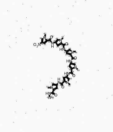 [CH2]CCNC(=O)c1cc(NC(=O)c2cc(NC(=O)c3cc(NC(=O)c4cc(NC(=O)c5cc(NC(=O)c6cc([N+](=O)[O-])cn6C)cn5C)cn4C)cn3C)cn2C)cn1C